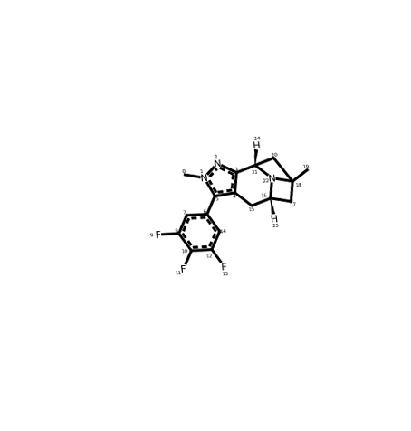 Cn1nc2c(c1-c1cc(F)c(F)c(F)c1)C[C@H]1CC3(C)C[C@@H]2N13